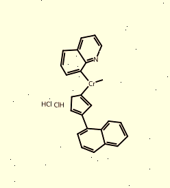 Cl.Cl.[CH3][Cr]([C]1=CC(c2cccc3ccccc23)=CC1)[c]1cccc2cccnc12